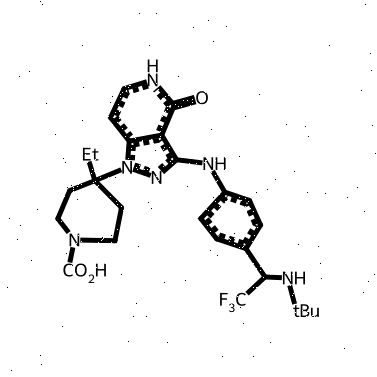 CCC1(n2nc(Nc3ccc(C(NC(C)(C)C)C(F)(F)F)cc3)c3c(=O)[nH]ccc32)CCN(C(=O)O)CC1